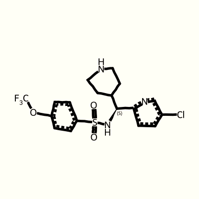 O=S(=O)(N[C@H](c1ccc(Cl)cn1)C1CCNCC1)c1ccc(OC(F)(F)F)cc1